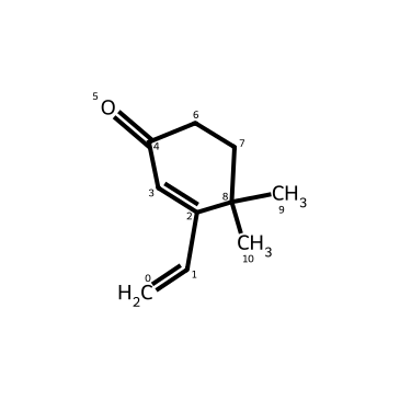 C=CC1=CC(=O)CCC1(C)C